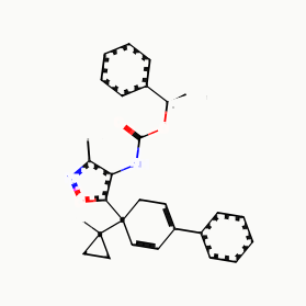 Cc1noc(C2(C3(C(=O)O)CC3)C=CC(c3ccccc3)=CC2)c1NC(=O)O[C@H](C)c1ccccc1